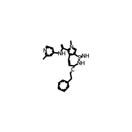 C=C(Nc1ccnc(C)c1)c1c2c(cn1C)S(=N)NC(CCCc1ccccc1)C=C2